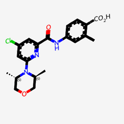 Cc1cc(NC(=O)c2cc(Cl)cc(N3[C@@H](C)COC[C@@H]3C)n2)ccc1C(=O)O